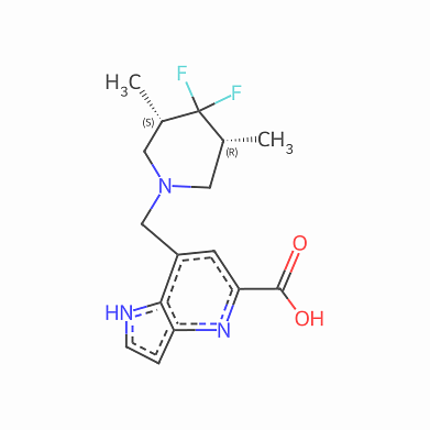 C[C@@H]1CN(Cc2cc(C(=O)O)nc3cc[nH]c23)C[C@H](C)C1(F)F